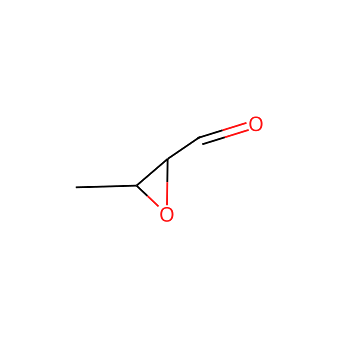 CC1OC1C=O